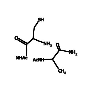 CC(=O)NC(=O)C(N)CS.CC(=O)NC(C)C(N)=O